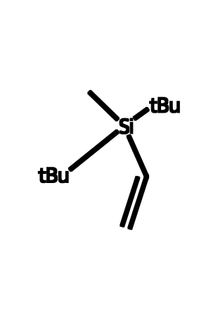 C=C[Si](C)(C(C)(C)C)C(C)(C)C